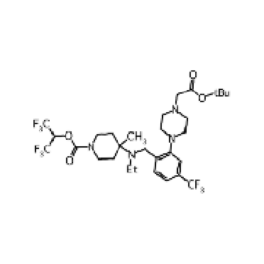 CCN(Cc1ccc(C(F)(F)F)cc1N1CCN(CC(=O)OC(C)(C)C)CC1)C1(C)CCN(C(=O)OC(C(F)(F)F)C(F)(F)F)CC1